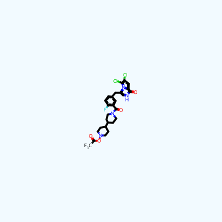 O=C(c1cc(Cc2c[nH]c(=O)c3cc(Cl)c(Cl)n23)ccc1F)N1CCC(C2CCN(OC(=O)C(F)(F)F)CC2)CC1